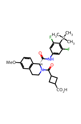 COc1ccc2c(c1)CCN(C(=O)C1CC(C(=O)O)C1)[C@H]2C(=O)Nc1cc(F)c([Si](C)(C)C)c(F)c1